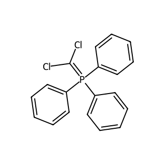 ClC(Cl)=P(c1ccccc1)(c1ccccc1)c1ccccc1